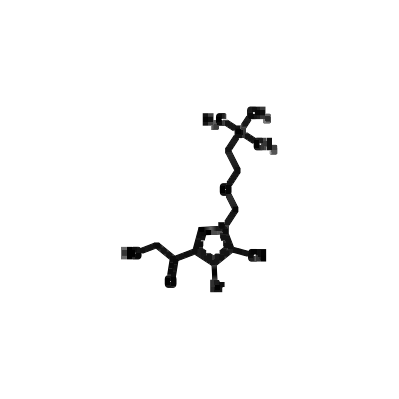 C[Si](C)(C)CCOCn1cc(C(=O)CO)c(Br)c1C#N